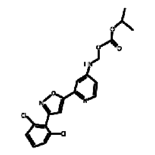 CC(C)OC(=O)OCNc1ccnc(-c2cc(-c3c(Cl)cccc3Cl)no2)c1